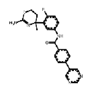 CC1(c2cc(NC(=O)c3ccc(-c4cncnc4)cc3)ccc2F)CCSC(N)=N1